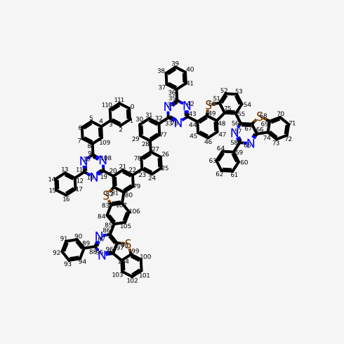 c1ccc(-c2cccc(-c3nc(-c4ccccc4)nc(-c4cc(-c5cccc(-c6cccc(-c7nc(-c8ccccc8)nc(-c8cccc9c8sc8cccc(-c%10nc(-c%11ccccc%11)nc%11c%10sc%10ccccc%10%11)c89)n7)c6)c5)cc5c4sc4cc(-c6nc(-c7ccccc7)nc7c6sc6ccccc67)ccc45)n3)c2)cc1